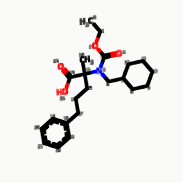 CCOC(=O)N(CC1CCCCC1)C(C)(CCCc1ccccc1)C(=O)O